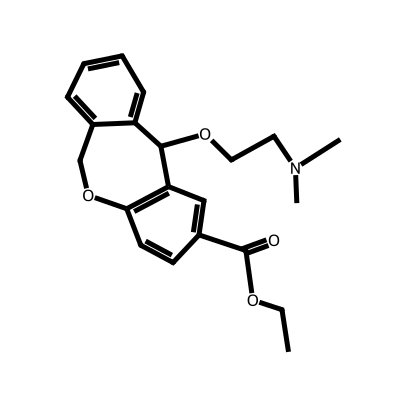 CCOC(=O)c1ccc2c(c1)C(OCCN(C)C)c1ccccc1CO2